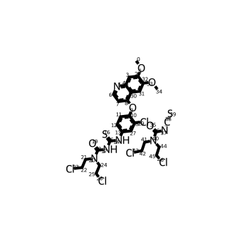 COc1cc2nccc(Oc3ccc(NC(=S)NC(=O)N(CCCl)CCCl)cc3Cl)c2cc1OC.O=C(N=C=S)N(CCCl)CCCl